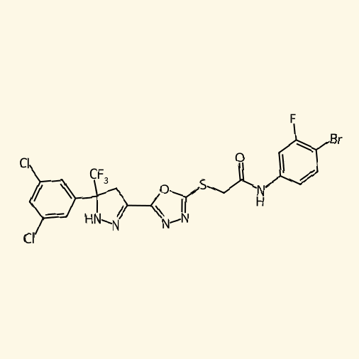 O=C(CSc1nnc(C2=NNC(c3cc(Cl)cc(Cl)c3)(C(F)(F)F)C2)o1)Nc1ccc(Br)c(F)c1